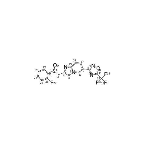 [O-][S+](Cc1cn2cc(-c3noc(C(F)(F)F)n3)ccc2n1)c1ccccc1F